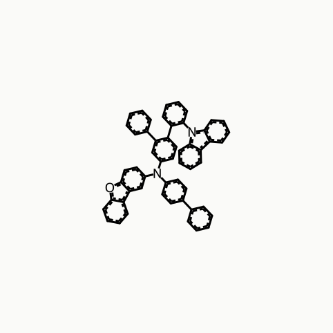 c1ccc(-c2ccc(N(c3ccc(-c4ccccc4-n4c5ccccc5c5ccccc54)c(-c4ccccc4)c3)c3ccc4oc5ccccc5c4c3)cc2)cc1